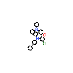 Clc1cc(N(c2ccccc2)c2ccc(-c3ccccc3)cc2)c2c(c1)oc1ccc(N(c3ccccc3)c3ccccc3)cc12